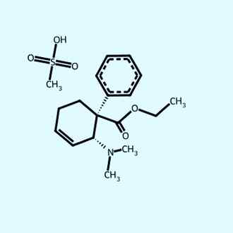 CCOC(=O)[C@]1(c2ccccc2)CCC=C[C@H]1N(C)C.CS(=O)(=O)O